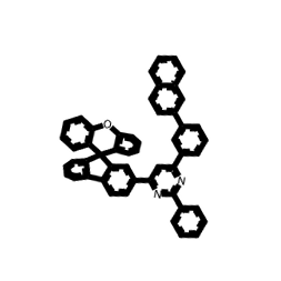 c1ccc(-c2nc(-c3cccc(-c4ccc5ccccc5c4)c3)cc(-c3ccc4c(c3)C3(c5ccccc5Oc5ccccc53)c3ccccc3-4)n2)cc1